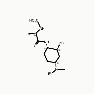 CCCC[C@H]1C[C@H](N(C)C(C)C)CC[C@@H]1NC(=O)[C@@H](C)NC(=O)O